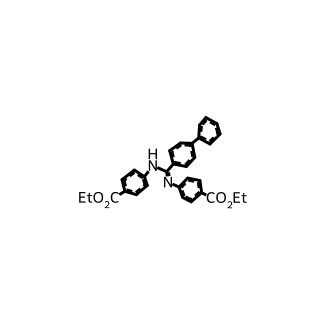 CCOC(=O)c1ccc(/N=C(/Nc2ccc(C(=O)OCC)cc2)c2ccc(-c3ccccc3)cc2)cc1